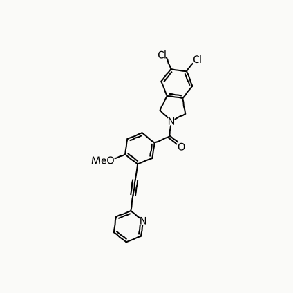 COc1ccc(C(=O)N2Cc3cc(Cl)c(Cl)cc3C2)cc1C#Cc1ccccn1